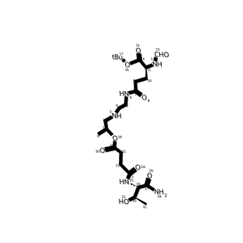 CC(CNCCNC(=O)CC[C@H](NC=O)C(=O)OC(C)(C)C)OC(=O)CCC(=O)N[C@H](C(N)=O)[C@@H](C)O